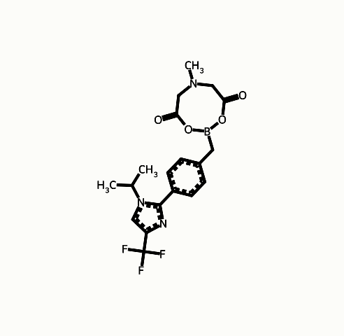 CC(C)n1cc(C(F)(F)F)nc1-c1ccc(CB2OC(=O)CN(C)CC(=O)O2)cc1